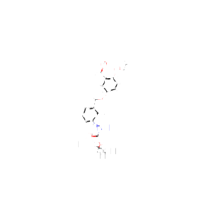 CCOc1ccc(OCc2cccc(NC(=O)OC(C)(C)C)c2)cc1C=O